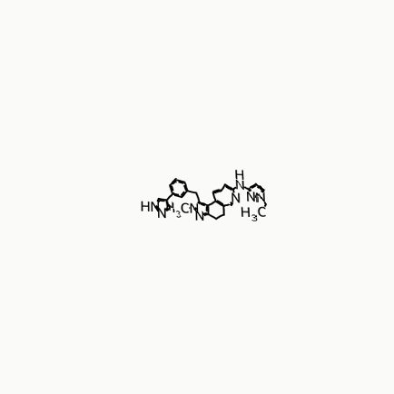 CCn1ccc(NC2=C/C=C/C3=C(/C=N\2)CCc2nn(C)c(Cc4cccc(-c5cn[nH]c5)c4)c23)n1